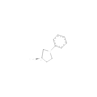 CN[C@@H]1CCN(c2c[c]ccc2)C1